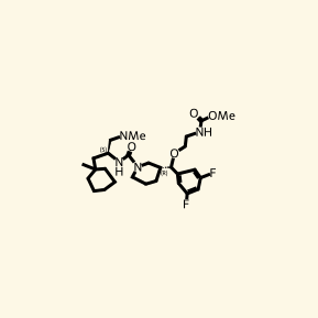 CNC[C@H](CC1(C)CCCCC1)NC(=O)N1CCC[C@@H](C(OCCNC(=O)OC)c2cc(F)cc(F)c2)C1